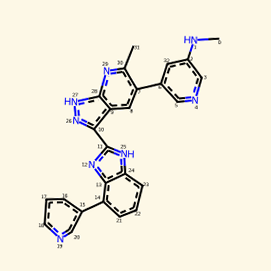 CNc1cncc(-c2cc3c(-c4nc5c(-c6cccnc6)cccc5[nH]4)n[nH]c3nc2C)c1